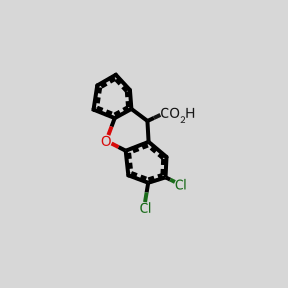 O=C(O)C1c2ccccc2Oc2cc(Cl)c(Cl)cc21